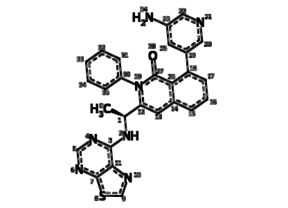 C[C@H](Nc1ncnc2scnc12)c1cc2cccc(-c3cncc(N)c3)c2c(=O)n1-c1ccccc1